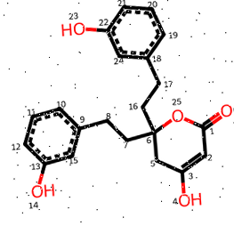 O=C1C=C(O)CC(CCc2cccc(O)c2)(CCc2cccc(O)c2)O1